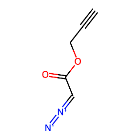 C#CCOC(=O)C=[N+]=[N-]